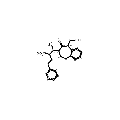 CCOC(=O)C(CCc1ccccc1)N(C1CCc2ccccc2N(CC(=O)O)C1=O)C(C)(C)C